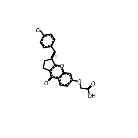 O=C(O)COc1ccc2c(=O)c3c(oc2c1)/C(=C/c1ccc(Cl)cc1)CC3